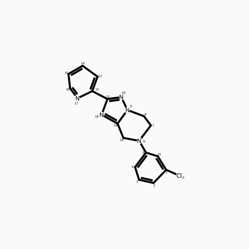 Clc1cccc(N2CCn3nc(-c4ccccn4)nc3C2)c1